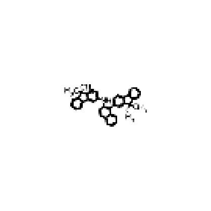 CC1(C)c2ccccc2-c2cc(Nc3ccc4ccccc4c3-c3ccc4c(c3)C(C)(C)c3ccccc3-4)ccc21